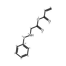 C=CC(=O)OC(=O)CNSc1ccccc1